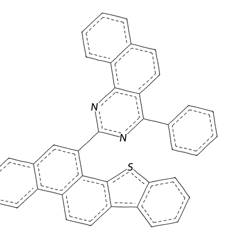 c1ccc(-c2nc(-c3cc4ccccc4c4ccc5c6ccccc6sc5c34)nc3c2ccc2ccccc23)cc1